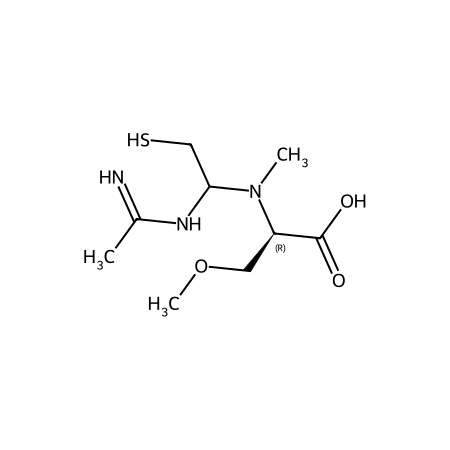 COC[C@H](C(=O)O)N(C)C(CS)NC(C)=N